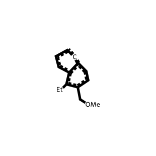 CCc1c(COC)ccc2ccccc12